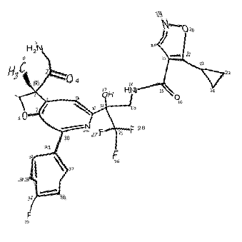 C[C@]1(C(N)=O)COc2c1cc(C(O)(CNC(=O)c1cnoc1C1CC1)C(F)(F)F)nc2-c1ccc(F)cc1